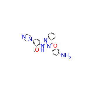 COc1cc(N2CCN(C)CC2)ccc1Nc1nc(Oc2cccc(N)c2)c2ccccc2n1